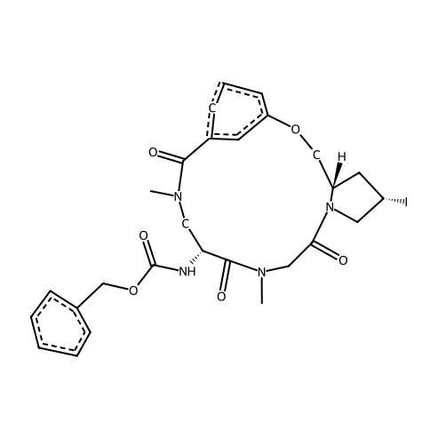 CN1C[C@@H](NC(=O)OCc2ccccc2)C(=O)N(C)CC(=O)N2C[C@@H](I)C[C@H]2COc2cccc(c2)C1=O